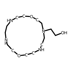 OCCN1CCNCCOCCNCCNCCOCC1